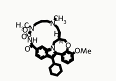 COc1cccc2c1OC[C@@H]1CCN(C)CCCN(C)S(=O)(=O)NC(=O)c3ccc4c(C5CCCCC5)c-2n(c4c3)C1